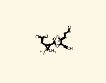 C#CC(OC(=O)C1C(C=C(Cl)Cl)C1(C)C)/C(F)=C/CCCl